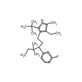 CCc1c(C)[nH]c(C(C)(C)C)c1CCC(c1cccc(F)c1)C(C)(C)CC